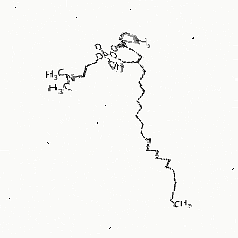 CCCCCCCCCCCCCCCCCC(COP(=O)(O)OCCCN(C)C)CC(C)=O